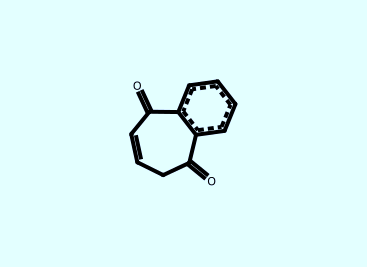 O=C1C=CCC(=O)c2ccccc21